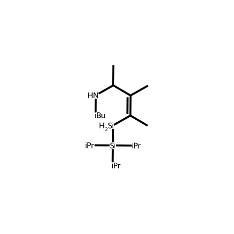 CCC(C)NC(C)C(C)=C(C)[SiH2][Si](C(C)C)(C(C)C)C(C)C